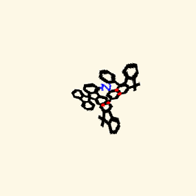 CC1(C)c2ccccc2-c2cc(-c3cccc(N(c4ccccc4-c4cccc5c4-c4ccccc4C5(C)C)c4cccc5c4-c4ccccc4C54c5ccccc5-c5ccccc54)c3)ccc21